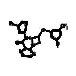 CCc1cncc(NC(=O)c2nccnc2N2CC(Oc3cc(F)cc(C(F)(F)F)c3)C2)c1